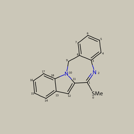 CSC1=Nc2ccccc2Cn2c1cc1ccccc12